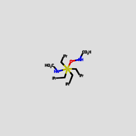 CC(C)CS(CC(C)C)(CC(C)C)(CC(C)C)(NC(=O)O)ONC(=O)O